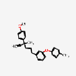 C#CC(C)(CCCc1cccc(Oc2ccc(C)cc2)c1)c1ccc(OCC)cc1